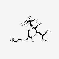 CC(C)[C@H](NC(=O)OCCCl)C(=O)OC(C)(C)C